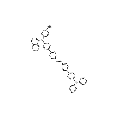 CC(C)(C)c1ccc(N(c2ccc(-c3ccc(/C=C/c4ccc(-c5ccc(N(c6ccccc6)c6ccccc6)cc5)cc4)cc3)cc2)c2cccc3ccccc23)cc1